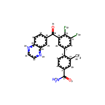 NC(=O)c1ccc(-c2cc(F)c(F)c(C(=O)c3ccc4nccnc4c3)c2)c(C(F)(F)F)c1